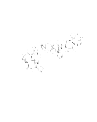 COc1ccc2nccc(N3CCN(CC4CN(c5ccc6c(c5)OCCO6)C(=O)O4)CC3)c2n1